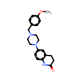 COc1ccc(CN2CCN(c3ccc4c(c3)CCC(=O)N4)CC2)cc1